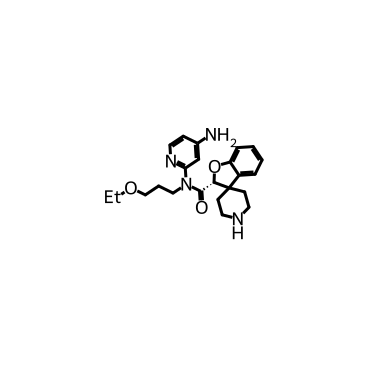 CCOCCCN(C(=O)[C@@H]1Oc2ccccc2C12CCNCC2)c1cc(N)ccn1